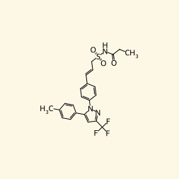 CCC(=O)NS(=O)(=O)CC=Cc1ccc(-n2nc(C(F)(F)F)cc2-c2ccc(C)cc2)cc1